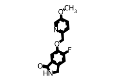 COc1ccc(COc2cc3c(cc2F)CNC3=O)nc1